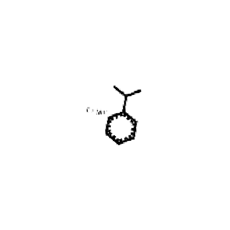 CC(C)c1ccccc1.[Cu].[Mn]